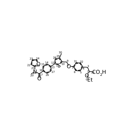 CCOC(Cc1ccc(OCc2sc(-c3ccc(C(=O)N(C)c4ccco4)cc3)cc2C)cc1)C(=O)O